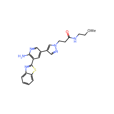 COCCNC(=O)CCn1cc(-c2cnc(N)c(-c3nc4ccccc4s3)c2)cn1